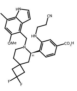 COc1cc(C)c2[nH]ccc2c1CN1CCC2(C[C@@H]1c1ccc(C(=O)O)cc1NCCC#N)CC(F)(F)C2